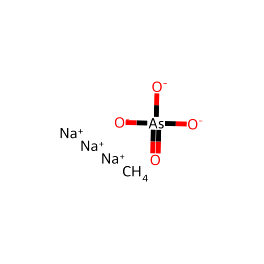 C.O=[As]([O-])([O-])[O-].[Na+].[Na+].[Na+]